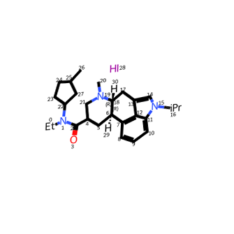 CCN(C(=O)C1C[C@@H]2c3cccc4c3c(cn4C(C)C)C[C@H]2N(C)C1)C1CCC(C)C1.I